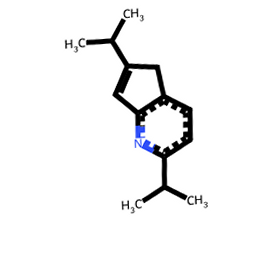 CC(C)C1=Cc2nc(C(C)C)ccc2C1